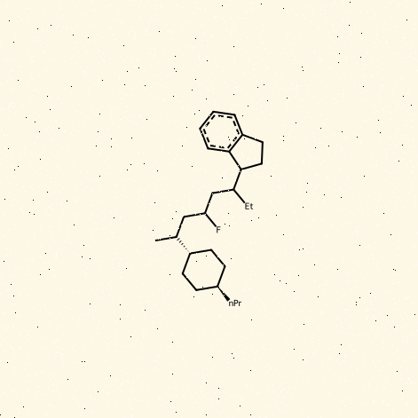 CCC[C@H]1CC[C@H](C(C)CC(F)CC(CC)C2CCc3ccccc32)CC1